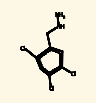 NNCc1cc(Cl)c(Cl)cc1Cl